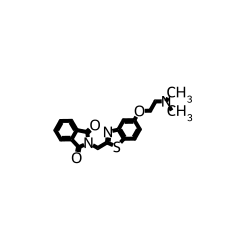 CN(C)CCOc1ccc2sc(CN3C(=O)c4ccccc4C3=O)nc2c1